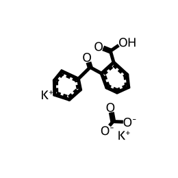 O=C(O)c1ccccc1C(=O)c1ccccc1.O=C([O-])[O-].[K+].[K+]